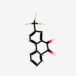 O=C1C(=O)c2cc(C(F)(F)F)ccc2-c2ccccc21